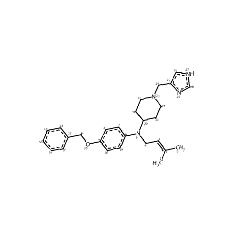 CC(C)=CCN(c1ccc(OCc2ccccc2)cc1)C1CCN(Cc2c[nH]cn2)CC1